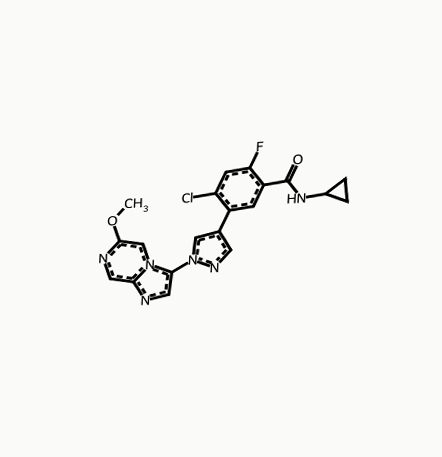 COc1cn2c(-n3cc(-c4cc(C(=O)NC5CC5)c(F)cc4Cl)cn3)cnc2cn1